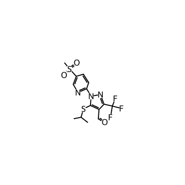 CC(C)Sc1c(C=O)c(C(F)(F)F)nn1-c1ccc(S(C)(=O)=O)cn1